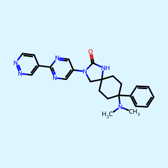 CN(C)C1(c2ccccc2)CCC2(CC1)CN(c1cnc(-c3ccnnc3)nc1)C(=O)N2